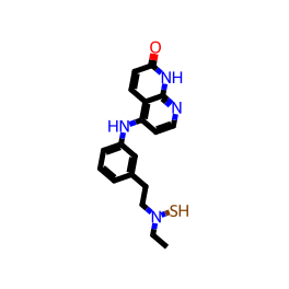 CCN(S)CCc1cccc(Nc2ccnc3[nH]c(=O)ccc23)c1